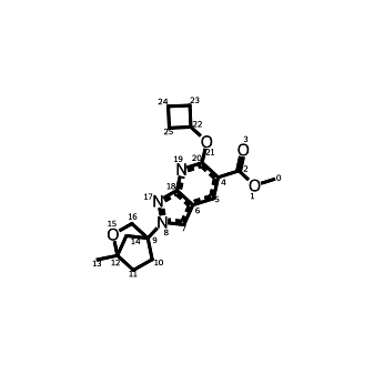 COC(=O)c1cc2cn(C34CCC(C)(C3)OC4)nc2nc1OC1CCC1